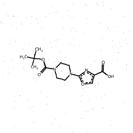 CC(C)(C)OC(=O)N1CCN(c2nc(C(=O)O)co2)CC1